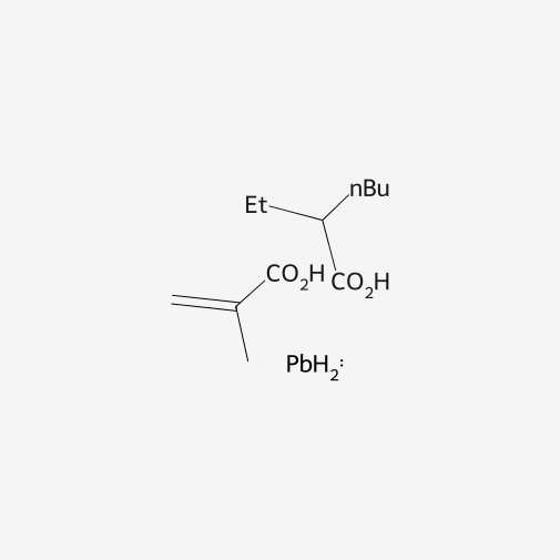 C=C(C)C(=O)O.CCCCC(CC)C(=O)O.[PbH2]